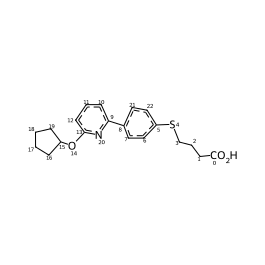 O=C(O)CCCSc1ccc(-c2cccc(OC3CCCC3)n2)cc1